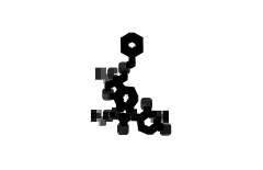 Cn1c(=O)n(C2CCC(=O)NC2=O)c2ccc3c(c21)OCC3(C)COCc1ccccc1